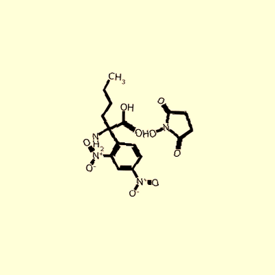 CCCCC(N)(C(=O)O)c1ccc([N+](=O)[O-])cc1[N+](=O)[O-].O=C1CCC(=O)N1O